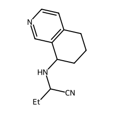 CCC(C#N)NC1CCCc2ccncc21